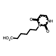 O=C(O)CCCCCn1c(=O)cc[nH]c1=O